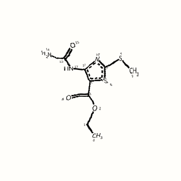 CCOC(=O)c1sc(SC)nc1NC(N)=O